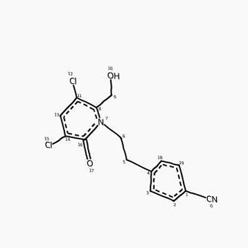 N#Cc1ccc(CCn2c(CO)c(Cl)cc(Cl)c2=O)cc1